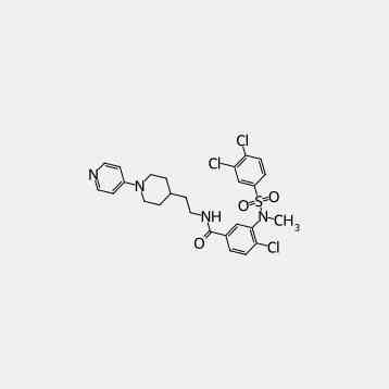 CN(c1cc(C(=O)NCCC2CCN(c3ccncc3)CC2)ccc1Cl)S(=O)(=O)c1ccc(Cl)c(Cl)c1